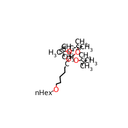 CCCCCCOCCCCCCO[Si](O[Si](C)(C)C)(O[Si](C)(C)C)O[Si](C)(C)C